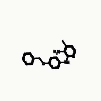 Cc1ccnc(Nc2ccc(OCc3ccccc3)cc2)c1N